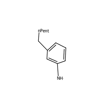 CCCCCCc1cccc([NH])c1